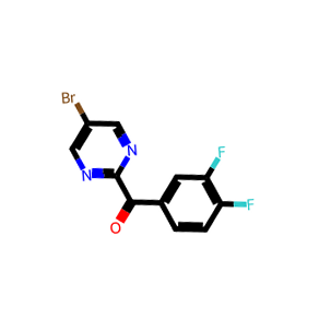 O=C(c1ccc(F)c(F)c1)c1ncc(Br)cn1